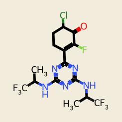 CC(Nc1nc(NC(C)C(F)(F)F)nc(C2=C(F)C(=O)C(Cl)CC2)n1)C(F)(F)F